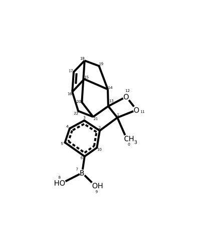 CC1(c2cccc(B(O)O)c2)OOC12C1CC3=CC(C1)CC2C3